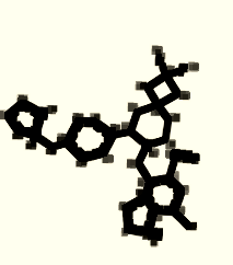 COc1cc(C)c2[nH]ccc2c1CN1CCC2(CC1c1ccc(Cn3cccn3)cc1)CC(F)(F)C2